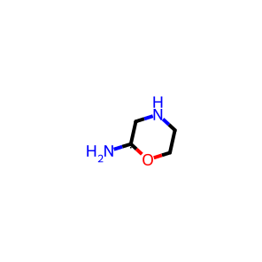 N[C]1CNCCO1